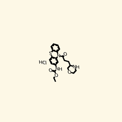 CCOC(=O)Nc1ccc2c(c1)N(C(=O)CCC1COCCN1)c1ccccc1S2.Cl